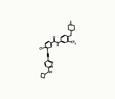 CN1CCN(Cc2ccc(NC(=O)c3ccc(Cl)c(C#Cc4ccc(NC5CCC5)nn4)c3)cc2C(F)(F)F)CC1